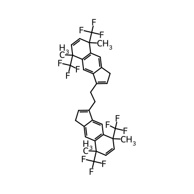 CC1(C(F)(F)F)C=CC(C)(C(F)(F)F)c2cc3c(cc21)CC=C3CCC1=CCc2cc3c(cc21)C(C)(C(F)(F)F)C=CC3(C)C(F)(F)F